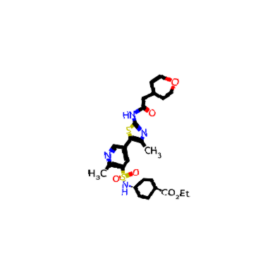 CCOC(=O)[C@H]1CC[C@H](NS(=O)(=O)c2cc(-c3sc(NC(=O)CC4CCOCC4)nc3C)cnc2C)CC1